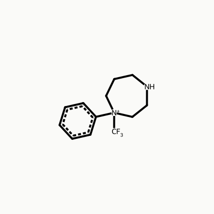 FC(F)(F)[N+]1(c2ccccc2)CCCNCC1